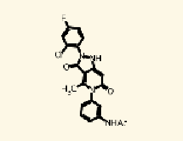 CC(=O)Nc1cccc(-n2c(C)c3c(=O)n(-c4ccc(F)cc4Cl)[nH]c3cc2=O)c1